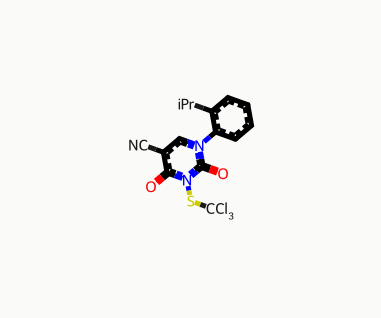 CC(C)c1ccccc1-n1cc(C#N)c(=O)n(SC(Cl)(Cl)Cl)c1=O